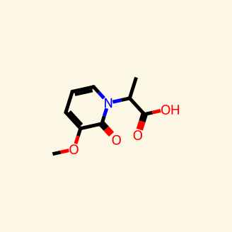 COc1cccn(C(C)C(=O)O)c1=O